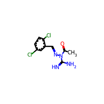 CC(=O)N(/N=C/c1cc(Cl)ccc1Cl)C(=N)N